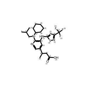 CC(C)CN(c1ncc(C(C)CC(=O)O)cc1Nc1nc(C(F)(F)F)ns1)C1CCCCC1